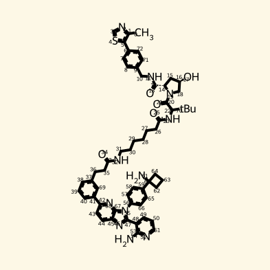 Cc1ncsc1-c1ccc(CNC(=O)[C@@H]2C[C@@H](O)CN2C(=O)C(NC(=O)CCCCCCNC(=O)CCc2cccc(-c3ccc4nc(-c5cccnc5N)n(-c5ccc(C6(N)CCC6)cc5)c4n3)c2)C(C)(C)C)cc1